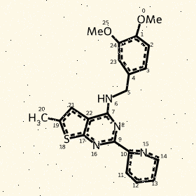 COc1ccc(CNc2nc(-c3ccccn3)nc3sc(C)cc23)cc1OC